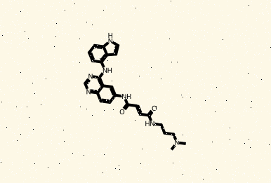 CN(C)CCCNC(=O)C=CC(=O)Nc1ccc2ncnc(Nc3cccc4[nH]ccc34)c2c1